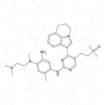 Cc1cc(N(C)CCN(C)C)c(N)cc1Nc1ncc(CCP(C)(C)=O)c(-c2cn3c4c(cccc24)CCC3)n1